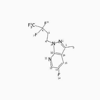 Cc1nn(CCC(F)(F)C(F)(F)F)c2ncc(F)cc12